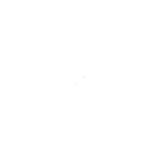 CCSCCC[N]CC1CC1